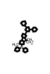 Cc1cc2c(cc1N(c1ccccc1)c1ccccc1)C(C)(C)c1cc(-c3cc(-c4ccccc4)cc(-c4ccccc4)c3)ccc1-2